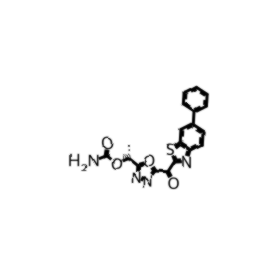 C[C@@H](OC(N)=O)c1nnc(C(=O)c2nc3ccc(-c4ccccc4)cc3s2)o1